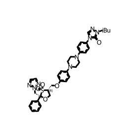 CCC(C)n1ncn(-c2ccc(N3CCN(c4ccc(OC[C@@H]5CO[C@@](Cn6nccn6)(c6ccccc6)S5(=O)=O)cc4)CC3)cc2)c1=O